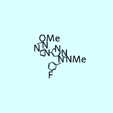 CNc1nc2ncc(-n3ccc4ncc(OC)nc43)cc2n1Cc1cccc(F)c1